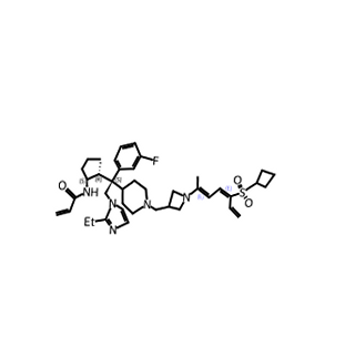 C=CC(=O)N[C@H]1CCC[C@@H]1[C@](Cn1ccnc1CC)(c1cccc(F)c1)C1CCN(CC2CN(/C(C)=C/C=C(\C=C)S(=O)(=O)C3CCC3)C2)CC1